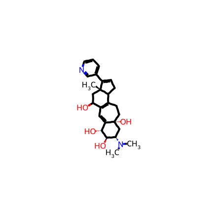 CN(C)[C@H]1C[C@]2(O)CCC3=C(C=C2[C@@H](O)[C@@H]1O)C(O)C[C@]1(C)C(c2cccnc2)=CCC31